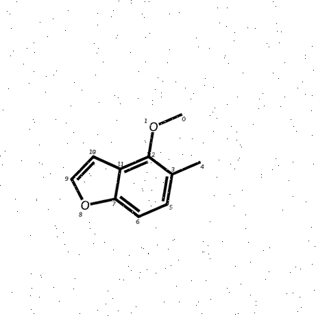 COc1c(C)ccc2occc12